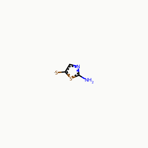 Nc1ncc([S])s1